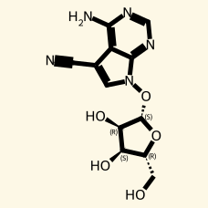 N#Cc1cn(O[C@@H]2O[C@H](CO)[C@@H](O)[C@H]2O)c2ncnc(N)c12